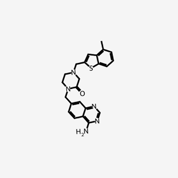 Cc1cccc2sc(CN3CCN(Cc4ccc5c(N)ncnc5c4)C(=O)C3)cc12